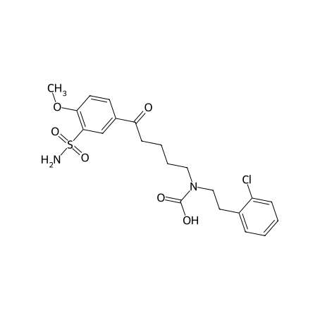 COc1ccc(C(=O)CCCCN(CCc2ccccc2Cl)C(=O)O)cc1S(N)(=O)=O